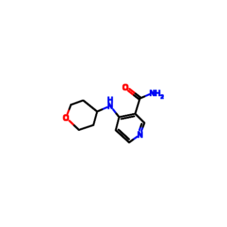 NC(=O)c1cnccc1NC1CCOCC1